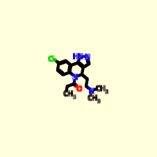 CCC(=O)N1c2ccc(Cl)cc2-c2[nH]ncc2C1CCN(C)C